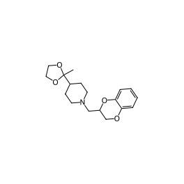 CC1(C2CCN(CC3COc4ccccc4O3)CC2)OCCO1